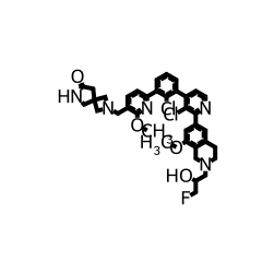 COc1cc(-c2nccc(-c3cccc(-c4ccc(CN5CC6(CNC(=O)C6)C5)c(OC)n4)c3Cl)c2Cl)cc2c1CN(CC(O)CF)CC2